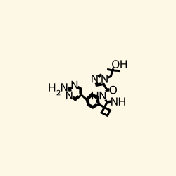 CC(C)(O)Cn1cncc1C(=O)NC(=N)C1(c2ccc(-c3cnc(N)nc3)cc2)CCC1